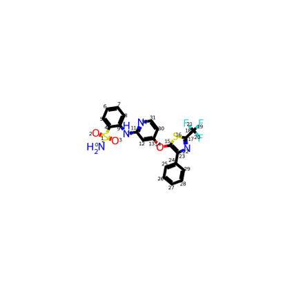 NS(=O)(=O)c1ccccc1Nc1cc(Oc2sc(C(F)(F)F)nc2-c2ccccc2)ccn1